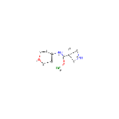 CC1(C(=O)NC2CCOCC2)CNC1.Cl